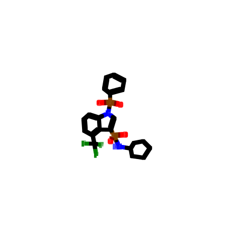 O=S(=O)(NC1CCCCC1)c1cn(S(=O)(=O)c2ccccc2)c2cccc(C(F)(F)F)c12